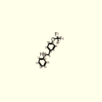 FC(F)(F)Oc1ccc(CNc2cc[c]cc2)cc1